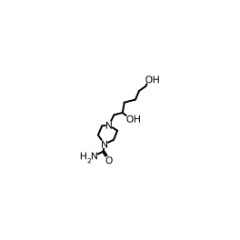 NC(=O)N1CCN(CC(O)CCCCO)CC1